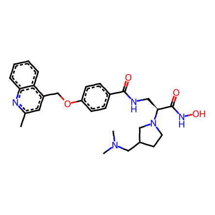 Cc1cc(COc2ccc(C(=O)NC[C@@H](C(=O)NO)N3CCC(CN(C)C)C3)cc2)c2ccccc2n1